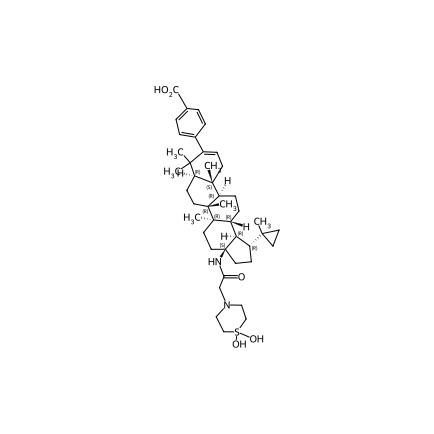 CC1([C@@H]2CC[C@]3(NC(=O)CN4CCS(O)(O)CC4)CC[C@]4(C)[C@H](CC[C@@H]5[C@@]6(C)CC=C(c7ccc(C(=O)O)cc7)C(C)(C)[C@@H]6CC[C@]54C)[C@@H]23)CC1